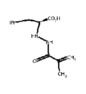 C=C(C)C(=O)NN[C@@H](CC(C)C)C(=O)O